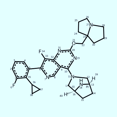 Fc1cccc(-c2ncc3c(N4C[C@H]5CC[C@@H](C4)N5)nc(OCC45CCCN4CCC5)nc3c2F)c1C1CC1